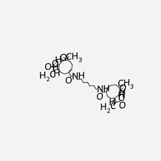 C=C1C(=O)O[C@H]2[C@H]1CC/C(C(=O)NCCCCCCCNC(=O)/C1=C/CC[C@@]3(C)O[C@H]3[C@H]3OC(=O)C(=C)[C@@H]3CC1)=C\CC[C@@]1(C)O[C@@H]21